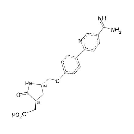 N=C(N)c1ccc(-c2ccc(OC[C@@H]3C[C@@H](CC(=O)O)C(=O)N3)cc2)nc1